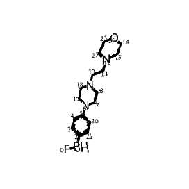 FBc1ccc(N2CCN(CCN3CCOCC3)CC2)cc1